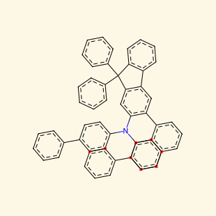 c1ccc(-c2ccc(N(c3ccccc3-c3ccccc3)c3cc4c(cc3-c3cccc5c3CCCC5)-c3ccccc3C4(c3ccccc3)c3ccccc3)cc2)cc1